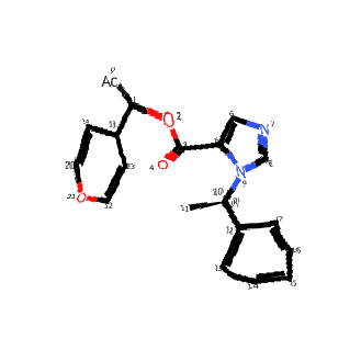 CC(=O)C(OC(=O)c1cncn1[C@H](C)c1ccccc1)C1C=COC=C1